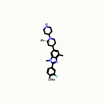 COc1ccc(-c2nc3c(C)cc(C4CCN(C5CCNCC5)[C@@H](C(C)C)C4)cc3n2C)cc1F